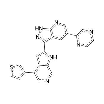 c1cnc(-c2cnc3[nH]nc(-c4cc5c(-c6ccsc6)cncc5[nH]4)c3c2)cn1